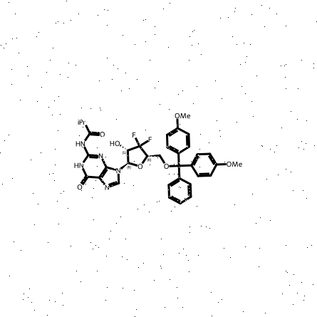 COc1ccc(C(OC[C@H]2O[C@@H](n3cnc4c(=O)[nH]c(NC(=O)C(C)C)nc43)[C@H](O)C2(F)F)(c2ccccc2)c2ccc(OC)cc2)cc1